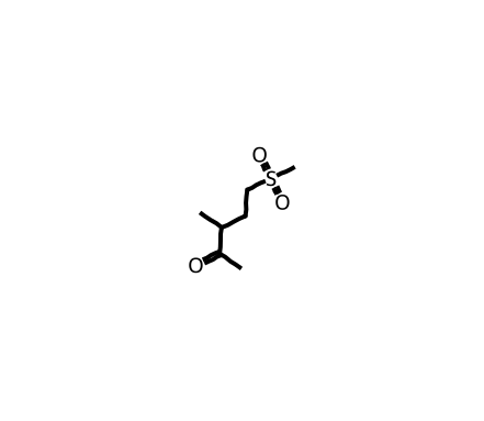 CC(=O)C(C)CCS(C)(=O)=O